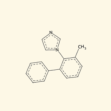 Cc1cccc(-c2ccccc2)c1-n1ccnc1